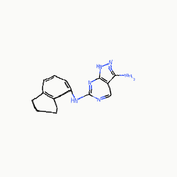 Nc1n[nH]c2nc(Nc3cccc4c3CCC4)ncc12